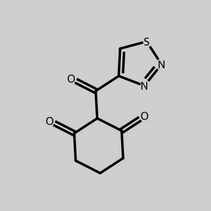 O=C1CCCC(=O)C1C(=O)c1csnn1